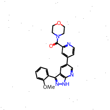 COc1ccccc1-c1n[nH]c2ncc(-c3ccnc(C(=O)N4CCOCC4)c3)cc12